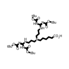 CC(C)(C)OC(=O)/N=C(/NCCCN(CCCCCC(=O)O)CCCN/C(=N\C(=O)OC(C)(C)C)NC(=O)OC(C)(C)C)NC(=O)OC(C)(C)C